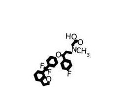 CN(CCC(Oc1ccc(C(F)(F)c2cccc3c2OCC3)cc1)c1ccc(F)cc1)CC(=O)O